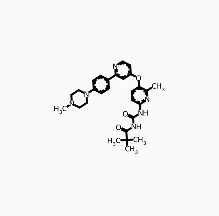 Cc1nc(NC(=O)NC(=O)C(C)(C)C)ccc1Oc1ccnc(-c2ccc(N3CCN(C)CC3)cc2)c1